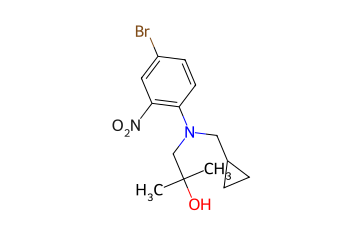 CC(C)(O)CN(CC1CC1)c1ccc(Br)cc1[N+](=O)[O-]